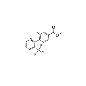 COC(=O)c1ccc(-c2ncccc2C(F)(F)F)c(C)c1